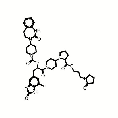 Cc1cc(C[C@@H](OC(=O)N2CCC(N3CCc4ccccc4NC3=O)CC2)C(=O)N2CCC(N3CCCC3C(=O)OCCCN3CCCC3=O)CC2)cc2oc(=O)[nH]c12